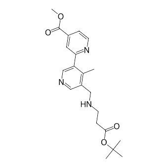 COC(=O)c1ccnc(-c2cncc(CNCCC(=O)OC(C)(C)C)c2C)c1